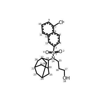 O=S(=O)(c1ccc2c(Cl)cccc2c1)N(CCCO)C1C2CC3CC(C2)CC1C3